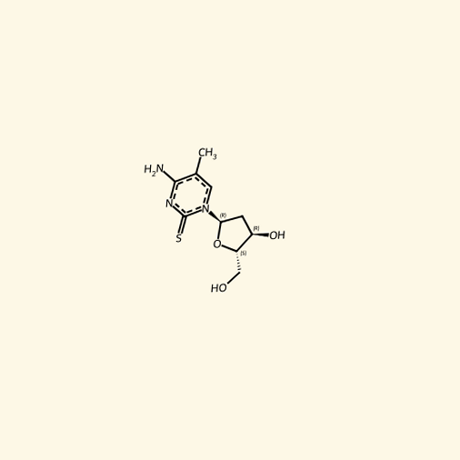 Cc1cn([C@H]2C[C@@H](O)[C@H](CO)O2)c(=S)nc1N